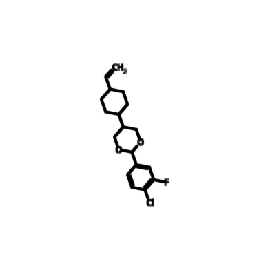 C=CC1CCC(C2COC(c3ccc(Cl)c(F)c3)OC2)CC1